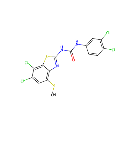 N#CSc1cc(Cl)c(Cl)c2sc(NC(=O)Nc3ccc(Cl)c(Cl)c3)nc12